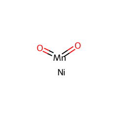 [Ni].[O]=[Mn]=[O]